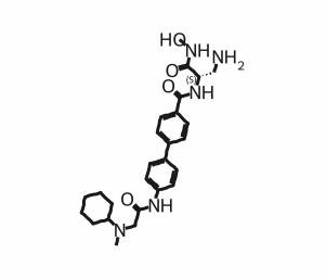 CN(CC(=O)Nc1ccc(-c2ccc(C(=O)N[C@@H](CN)C(=O)NO)cc2)cc1)C1CCCCC1